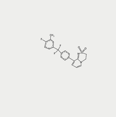 Cc1cc(C(F)(F)c2ccc(C3=CC=CN4CCS(=O)(=O)N=C34)cc2)ccc1F